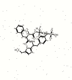 CCc1cnc(C(Cc2ccc(NS(=O)(=O)O)cc2)NC(=O)C(Cc2ccccc2)N(C)C(=O)OC(C)(C)C)s1